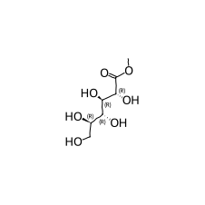 COC(=O)[C@H](O)[C@H](O)[C@H](O)[C@H](O)CO